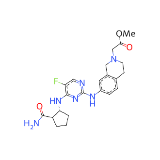 COC(=O)CN1CCc2ccc(Nc3ncc(F)c(N[C@@H]4CCCC4C(N)=O)n3)cc2C1